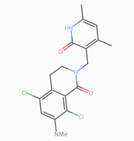 CNc1cc(Cl)c2c(c1Cl)C(=O)N(Cc1c(C)cc(C)[nH]c1=O)CC2